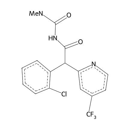 CNC(=O)NC(=O)C(c1cc(C(F)(F)F)ccn1)c1ccccc1Cl